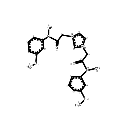 COc1cccc(N(O)C(=O)Cn2cc[n+](CC(=O)N(O)c3cccc(OC)c3)c2)c1